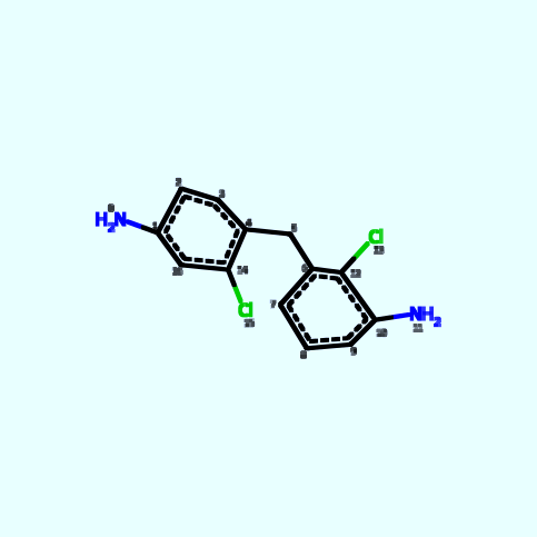 Nc1ccc(Cc2cccc(N)c2Cl)c(Cl)c1